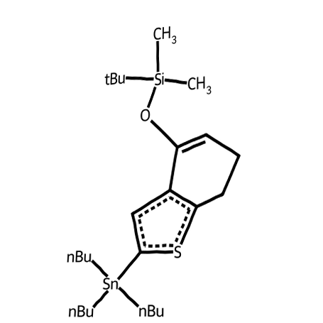 CCC[CH2][Sn]([CH2]CCC)([CH2]CCC)[c]1cc2c(s1)CCC=C2O[Si](C)(C)C(C)(C)C